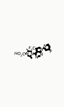 CC1CN(C(=O)O)[C@@H](C)CN1c1ncnc2c1c(C(F)(F)F)cn2-c1cc(F)ccn1